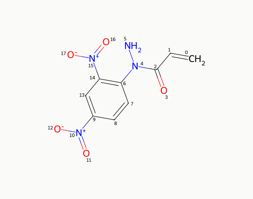 C=CC(=O)N(N)c1ccc([N+](=O)[O-])cc1[N+](=O)[O-]